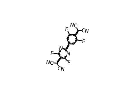 N#CC(C#N)=c1c(F)cc(=c2nc(F)c(=C(C#N)C#N)c(F)n2)cc1F